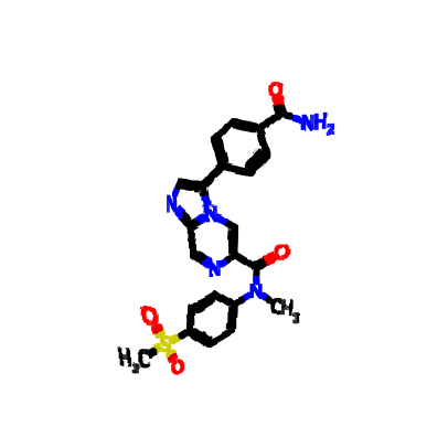 CN(C(=O)c1cn2c(-c3ccc(C(N)=O)cc3)cnc2cn1)c1ccc(S(C)(=O)=O)cc1